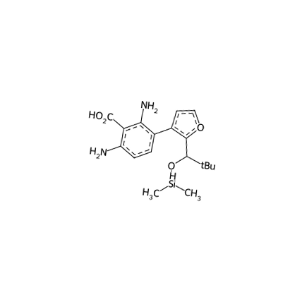 C[SiH](C)OC(c1occc1-c1ccc(N)c(C(=O)O)c1N)C(C)(C)C